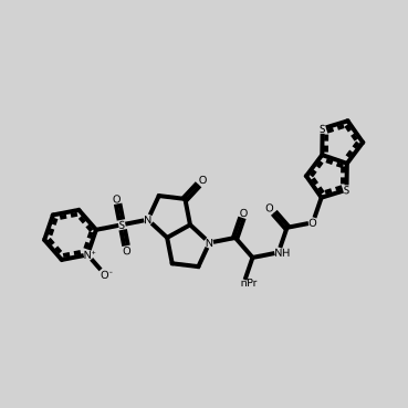 CCCC(NC(=O)Oc1cc2sccc2s1)C(=O)N1CCC2C1C(=O)CN2S(=O)(=O)c1cccc[n+]1[O-]